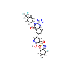 COc1ncc(-c2ccc3nc(N)n(-c4ccc(C(F)(F)F)cc4)c(=O)c3c2)cc1S(=O)(=O)Nc1ccc(F)cc1F